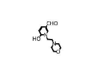 O=CC1=CN(CCN2CCOCC2)C(O)C=C1